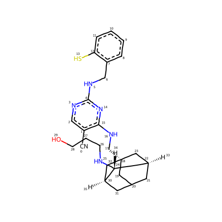 N#Cc1cnc(NCc2ccccc2S)nc1NC[C@@]12CC3C[C@H](C1)[C@@H](NCCCO)[C@@H](C3)C2